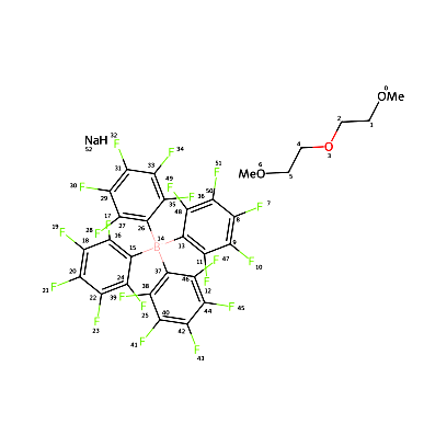 COCCOCCOC.Fc1c(F)c(F)c([B-](c2c(F)c(F)c(F)c(F)c2F)(c2c(F)c(F)c(F)c(F)c2F)c2c(F)c(F)c(F)c(F)c2F)c(F)c1F.[NaH]